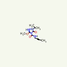 CC#CCNC(=O)N(C(=N)OC)C(=O)NC(C)C